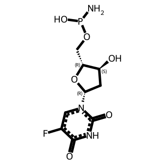 NP(O)OC[C@H]1O[C@@H](n2cc(F)c(=O)[nH]c2=O)C[C@@H]1O